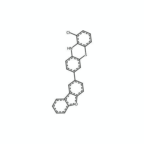 Clc1cccc2c1Nc1ccc(-c3ccc4oc5ccccc5c4c3)cc1S2